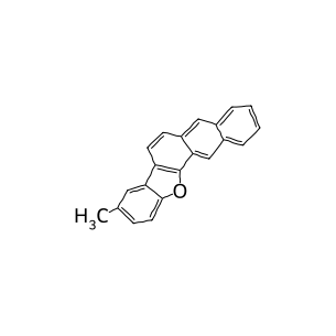 Cc1ccc2oc3c4cc5ccccc5cc4ccc3c2c1